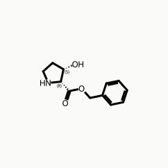 O=C(OCc1ccccc1)[C@@H]1NCC[C@@H]1O